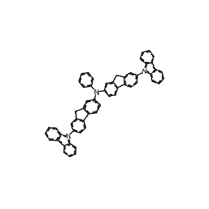 c1ccc(N(c2ccc3c(c2)Cc2cc(-n4c5ccccc5c5ccccc54)ccc2-3)c2ccc3c(c2)Cc2cc(-n4c5ccccc5c5ccccc54)ccc2-3)cc1